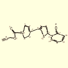 CC(C)(C)OC(=O)N1CC=C(c2ccc(-n3ncccc3=O)s2)CC1